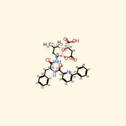 CC(C)C[C@H](NC(=O)[C@H](Cc1ccccc1)NC(=O)c1cccc(-c2ccccc2)n1)B1OC(=O)C[C@@H](C(=O)O)O1